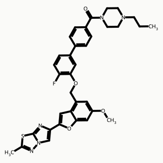 CCCN1CCN(C(=O)c2ccc(-c3ccc(F)c(OCc4cc(OC)cc5oc(-c6cn7nc(C)sc7n6)cc45)c3)cc2)CC1